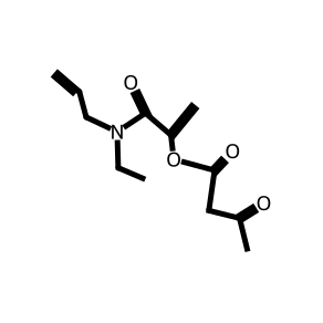 C=CCN(CC)C(=O)C(=C)OC(=O)CC(C)=O